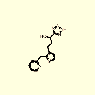 OC(CCc1ccsc1Cc1ccccn1)c1nn[nH]n1